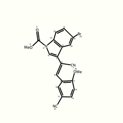 COC(=O)n1cc(/C(C#N)=C/c2cc(C#N)ccc2OC)c2cc(Br)ccc21